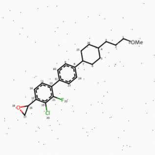 COCCCC1CCC(c2ccc(-c3ccc(C4CO4)c(Cl)c3F)cc2)CC1